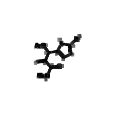 C=C(C(=O)OC)C(OC(C)=O)c1ccc(Br)s1